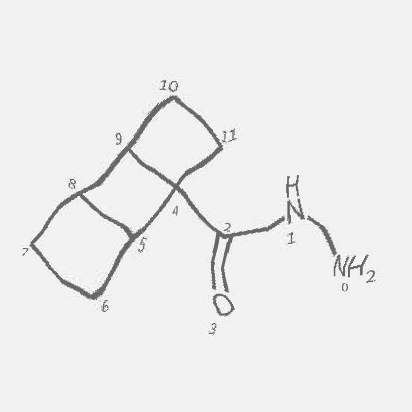 NNC(=O)C12C3C4C5C3C1C5C42